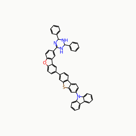 c1ccc(C2N=C(c3ccc4oc5ccc(-c6ccc7c(c6)sc6cc(-n8c9ccccc9c9ccccc98)ccc67)cc5c4c3)NC(c3ccccc3)N2)cc1